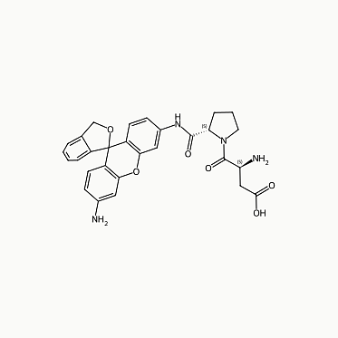 Nc1ccc2c(c1)Oc1cc(NC(=O)[C@@H]3CCCN3C(=O)[C@@H](N)CC(=O)O)ccc1C21OCc2ccccc21